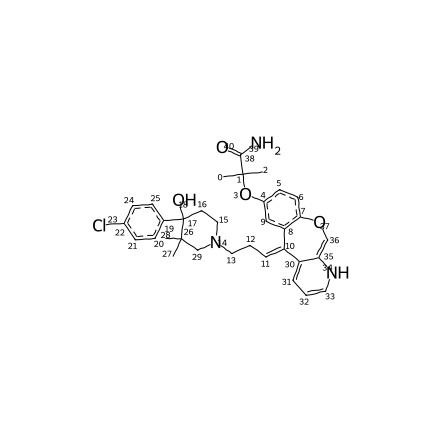 CC(C)(Oc1ccc2c(c1)C(=CCCN1CCC(O)(c3ccc(Cl)cc3)C(C)(C)C1)C1=CC=CNC1=CO2)C(N)=O